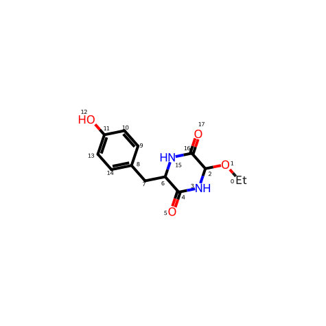 CCOC1NC(=O)C(Cc2ccc(O)cc2)NC1=O